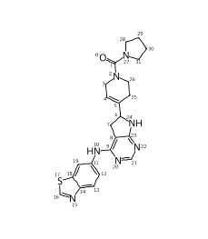 O=C(N1CC=C(C2Cc3c(Nc4ccc5ncsc5c4)ncnc3N2)CC1)N1CCCC1